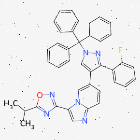 CC(C)c1nc(-c2cnc3ccc(-c4cn(C(c5ccccc5)(c5ccccc5)C5C=CC=CC5)nc4-c4ccccc4F)cn23)no1